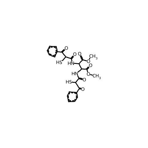 COC(=O)C(NC(=O)C(S)C(=O)c1ccccc1)C(NC(=O)C(S)C(=O)c1ccccc1)C(=O)OC